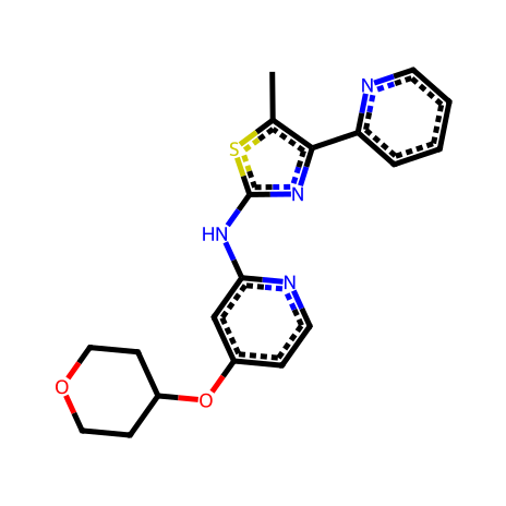 Cc1sc(Nc2cc(OC3CCOCC3)ccn2)nc1-c1ccccn1